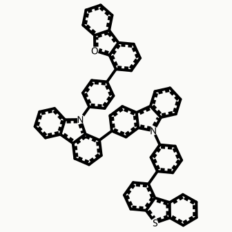 c1cc(-c2cccc3sc4ccccc4c23)cc(-n2c3ccccc3c3ccc(-c4cccc5c6ccccc6n(-c6ccc(-c7cccc8c7oc7ccccc78)cc6)c45)cc32)c1